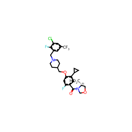 O=C(O)[C@@H]1COCN1C(=O)c1cc(C2CC2)c(OCC2CCN(Cc3cc(C(F)(F)F)cc(Cl)c3F)CC2)cc1F